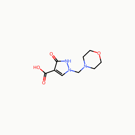 O=C(O)c1cn(CN2CCOCC2)[nH]c1=O